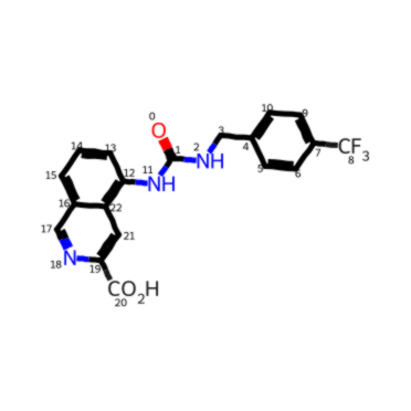 O=C(NCc1ccc(C(F)(F)F)cc1)Nc1cccc2cnc(C(=O)O)cc12